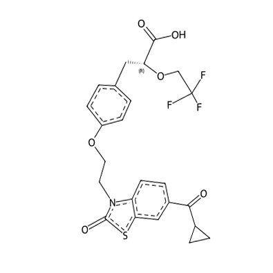 O=C(c1ccc2c(c1)sc(=O)n2CCOc1ccc(C[C@@H](OCC(F)(F)F)C(=O)O)cc1)C1CC1